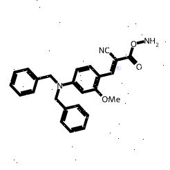 COc1cc(N(Cc2ccccc2)Cc2ccccc2)ccc1/C=C(\C#N)C(=O)ON